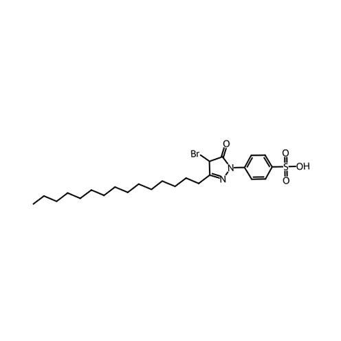 CCCCCCCCCCCCCCCC1=NN(c2ccc(S(=O)(=O)O)cc2)C(=O)C1Br